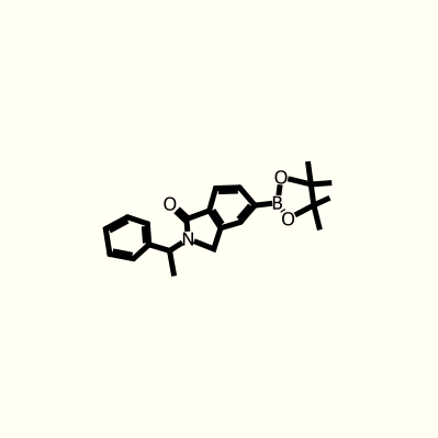 CC(c1ccccc1)N1Cc2cc(B3OC(C)(C)C(C)(C)O3)ccc2C1=O